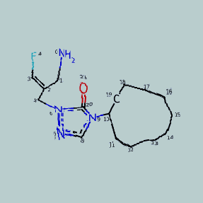 NC/C(=C\F)Cn1ncn(C2CCCCCCCCC2)c1=O